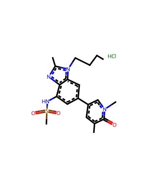 CCCCn1c(C)nc2c(NS(C)(=O)=O)cc(-c3cc(C)c(=O)n(C)c3)cc21.Cl